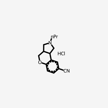 CCCN1CC2COc3ccc(C#N)cc3C2C1.Cl